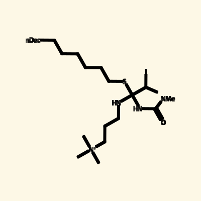 CCCCCCCCCCCCCCCCSC(NCCC[N+](C)(C)C)(NC(=O)NC)C(C)I